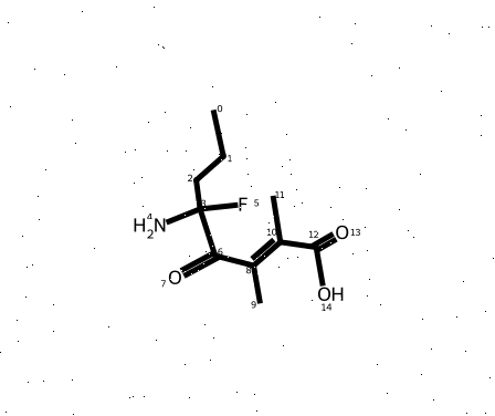 CCCC(N)(F)C(=O)C(C)=C(C)C(=O)O